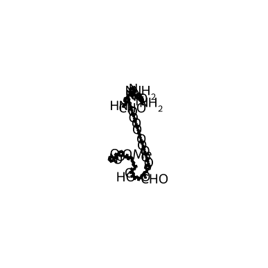 COC(C[C@@H]1CC[C@@H](C)C(C(=O)C(=O)N2CCCCC2)O1)/C(C)=C/C=C/C=C/C(C)CC(C)C(=O)CC(O)/C(C)=C/C(C)CCC(CCC1CCC(OCCOCCOCCOCCOCCCCOCCOCCOCCOCCCCc2cc(Cn3nc(-c4ccc5oc(N)nc5c4)c4c(N)ncnc43)ccc2CNC=O)CC1)OC=O